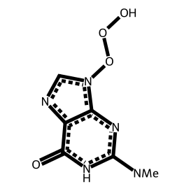 CNc1nc2c(ncn2OOO)c(=O)[nH]1